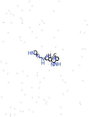 Cc1cccc(-c2[nH]cnc2-c2ccc3ncc(NCCN4CC5(CCCNC5)C4)cc3c2)n1